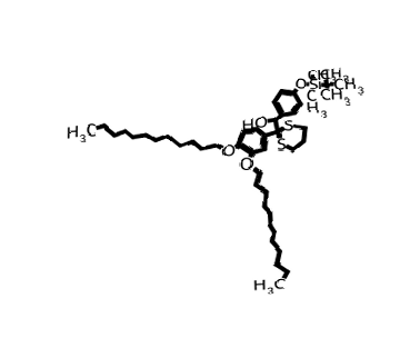 CCCCCCCCCCCCOc1ccc(C2(C(O)c3ccc(O[Si](C)(C)C(C)(C)C)cc3)SCCCS2)cc1OCCCCCCCCCCCC